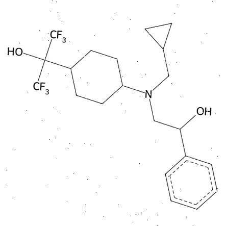 OC(CN(CC1CC1)C1CCC(C(O)(C(F)(F)F)C(F)(F)F)CC1)c1ccccc1